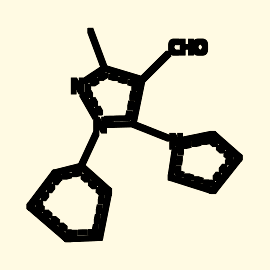 Cc1nn(-c2ccccc2)c(-n2cccc2)c1C=O